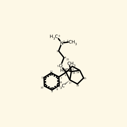 CN(C)CCOC1(c2ccccc2)CC2CC[C@]1(C)C2(C)C